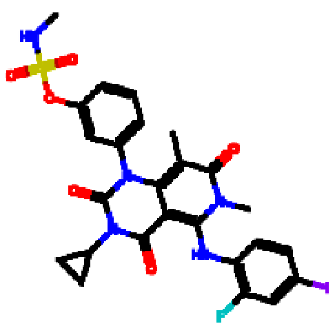 CNS(=O)(=O)Oc1cccc(-n2c(=O)n(C3CC3)c(=O)c3c(Nc4ccc(I)cc4F)n(C)c(=O)c(C)c32)c1